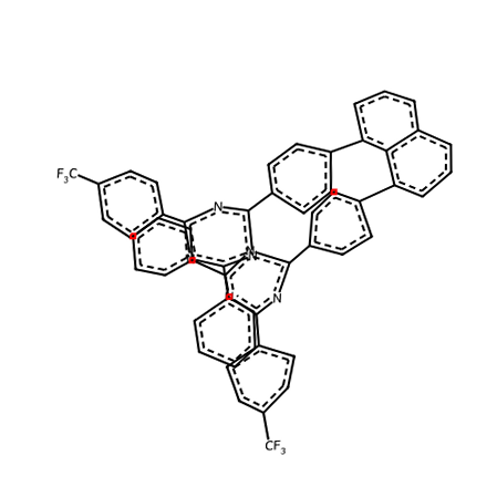 FC(F)(F)c1ccc(-c2nc(-c3ccccc3)nc(-c3ccc(-c4cccc5cccc(-c6ccc(-c7nc(-c8ccccc8)nc(-c8ccc(C(F)(F)F)cc8)n7)cc6)c45)cc3)n2)cc1